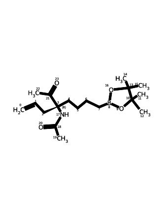 C=CC[C@@](CCCCB1OC(C)(C)C(C)(C)O1)(NC(C)=O)C(C)=O